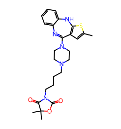 Cc1cc2c(s1)Nc1ccccc1N=C2N1CCN(CCCCN2C(=O)OC(C)(C)C2=O)CC1